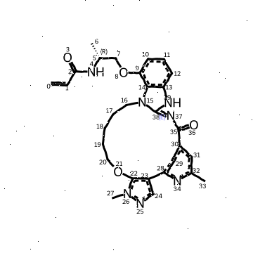 C=CC(=O)N[C@H](C)COc1cccc2c1N1CCCCCOc3c(cnn3C)-c3cc(cc(C)n3)C(=O)/N=C/1N2